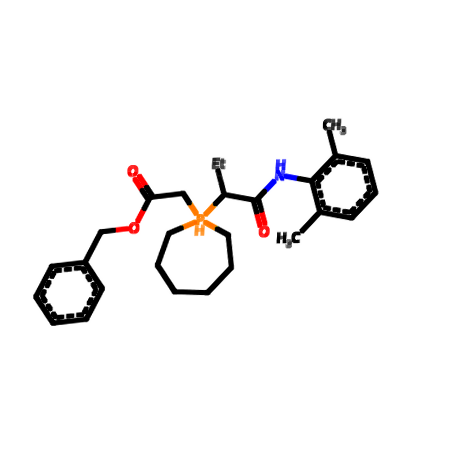 CCC(C(=O)Nc1c(C)cccc1C)[PH]1(CC(=O)OCc2ccccc2)CCCCCC1